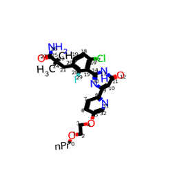 CCCOCCOc1ccc(-c2cc(=O)[nH]c(-c3c(Cl)ccc(CC(C)(C)C(N)=O)c3F)n2)nc1